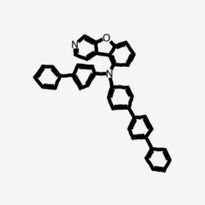 c1ccc(-c2ccc(-c3ccc(N(c4ccc(-c5ccccc5)cc4)c4cccc5oc6cnccc6c45)cc3)cc2)cc1